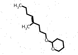 CCC/C=C(\C)CCCOC1CCCCO1